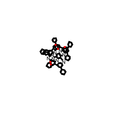 N#Cc1c(-n2c3ccccc3c3cc(-c4ccccc4)ccc32)c(-c2nc(-c3ccccc3)nc(-c3ccccc3)n2)c(-n2c3ccccc3c3cc(-c4ccccc4)ccc32)c(-n2c3ccccc3c3cc(-c4ccccc4)ccc32)c1-n1c2ccccc2c2cc(-c3ccccc3)ccc21